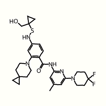 Cc1cc(NC(=O)c2ccc(NSC3(CO)CC3)cc2N2CCC3(CC2)CC3)nc(N2CCC(F)(F)CC2)c1